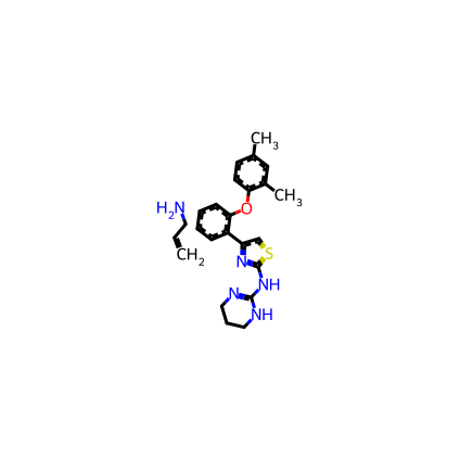 C=CCN.Cc1ccc(Oc2ccccc2-c2csc(NC3=NCCCN3)n2)c(C)c1